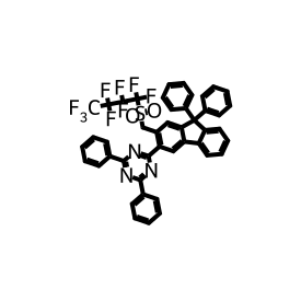 O=S(=O)(Cc1cc2c(cc1-c1nc(-c3ccccc3)nc(-c3ccccc3)n1)-c1ccccc1C2(c1ccccc1)c1ccccc1)C(F)(F)C(F)(F)C(F)(F)C(F)(F)F